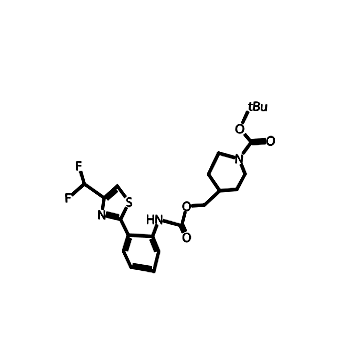 CC(C)(C)OC(=O)N1CCC(COC(=O)Nc2ccccc2-c2nc(C(F)F)cs2)CC1